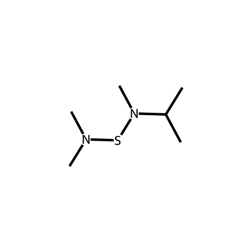 CC(C)N(C)SN(C)C